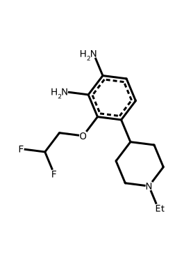 CCN1CCC(c2ccc(N)c(N)c2OCC(F)F)CC1